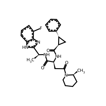 C[C@H](NC(=O)[C@H](CC(=O)N1CCCC[C@@H]1C)NC(=O)[C@@H]1C[C@H]1c1ccccc1)c1nc2c(F)cccc2[nH]1